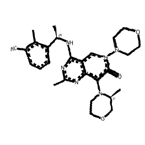 Cc1nc(N[C@H](C)c2cccc(C#N)c2C)c2cn(N3CCOCC3)c(=O)c(N3CCOC[C@@H]3C)c2n1